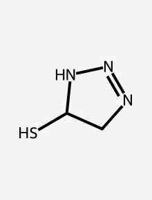 SC1CN=NN1